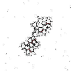 Cc1ccc(N(c2ccccc2-c2ccccc2)c2ccc3c4cc5c(cc4n4c6ccccc6c2c34)c2ccc(N(c3ccccc3-c3ccccc3)c3ccc(C)cc3-c3ccccc3)c3c4ccccc4n5c23)c(-c2ccccc2)c1